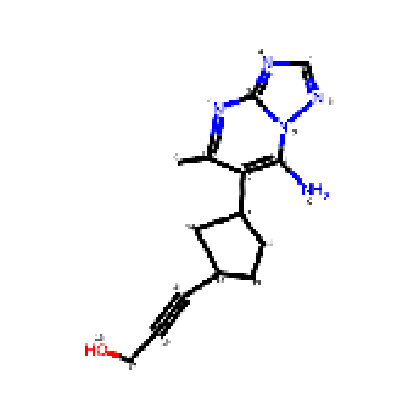 Cc1nc2ncnn2c(N)c1C1CCC(C#CCO)C1